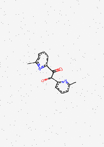 Cc1cccc(C(=O)C(=O)c2cccc(C)n2)n1